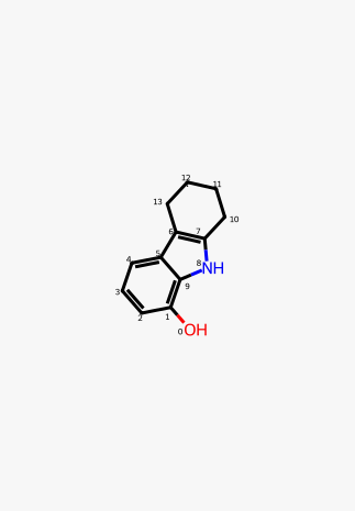 Oc1cccc2c3c([nH]c12)CC[CH]C3